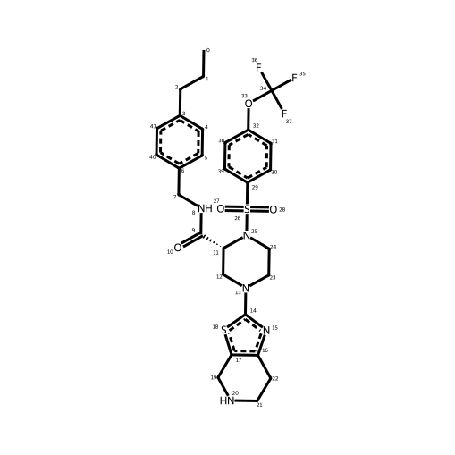 CCCc1ccc(CNC(=O)[C@H]2CN(c3nc4c(s3)CNCC4)CCN2S(=O)(=O)c2ccc(OC(F)(F)F)cc2)cc1